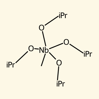 CC(C)[O][Nb]([CH3])([O]C(C)C)([O]C(C)C)[O]C(C)C